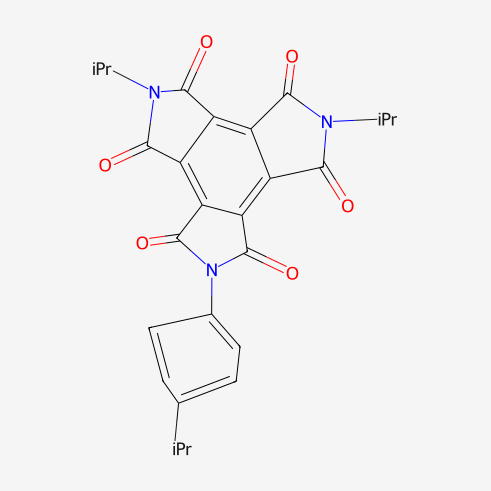 CC(C)c1ccc(-n2c(=O)c3c(c2=O)c2c(=O)n(C(C)C)c(=O)c2c2c(=O)n(C(C)C)c(=O)c32)cc1